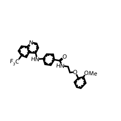 COc1ccccc1OCCNC(=O)c1ccc(Nc2ccnc3ccc(C(F)(F)F)cc23)cc1